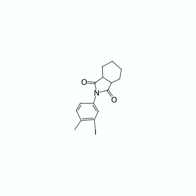 Cc1ccc(N2C(=O)C3CCCCC3C2=O)cc1I